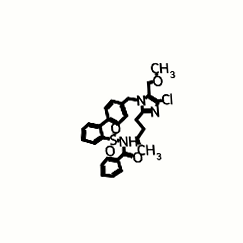 CCCCc1nc(Cl)c(COC)n1Cc1ccc(-c2ccccc2S(=O)(=O)NC(=O)c2ccccc2)cc1